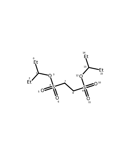 CCC(CC)OS(=O)(=O)CCS(=O)(=O)OC(CC)CC